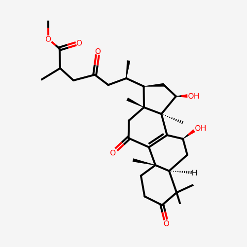 COC(=O)C(C)CC(=O)C[C@@H](C)[C@H]1C[C@@H](O)[C@@]2(C)C3=C(C(=O)C[C@]12C)[C@@]1(C)CCC(=O)C(C)(C)[C@@H]1C[C@@H]3O